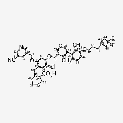 Cc1c(COc2cc(OCc3cncc(C#N)c3)c(CN3CCCCC3C(=O)O)cc2Cl)cccc1-c1cccc(OCCCN2CCC(F)(F)C2)c1C